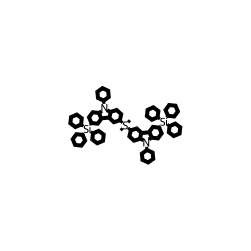 CS(C)(c1ccc2c(c1)c1cc([Si](c3ccccc3)(c3ccccc3)c3ccccc3)ccc1n2-c1ccccc1)c1ccc2c(c1)c1cc([Si](c3ccccc3)(c3ccccc3)c3ccccc3)ccc1n2-c1ccccc1